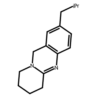 CC(C)Cc1ccc2c(c1)CN1CCCCC1=N2